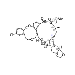 CCO[C@]1([C@H](C)N2CCN3CCOC[C@@H]3C2)/C=C/C[C@H](C)[C@@H](COC)S(=O)(=O)NC(=O)c2ccc3c(c2)N(CCCCc2cc(Cl)ccc2CO3)C[C@@H]2CC[C@H]21